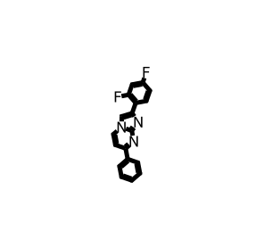 Fc1ccc(-c2cn3ccc(-c4ccccc4)nc3n2)c(F)c1